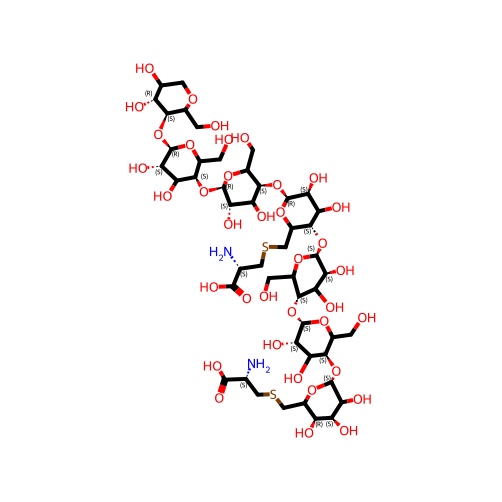 N[C@H](CSCC1O[C@@H](O[C@@H]2C(CO)O[C@H](O[C@@H]3C(CO)O[C@H](O[C@@H]4C(CO)OCC(O)[C@H]4O)[C@@H](O)C3O)[C@@H](O)C2O)[C@@H](O)C(O)[C@@H]1O[C@@H]1OC(CO)[C@@H](O[C@@H]2OC(CO)[C@@H](O[C@H]3OC(CSC[C@@H](N)C(=O)O)[C@H](O)[C@H](O)C3O)C(O)[C@@H]2O)C(O)[C@@H]1O)C(=O)O